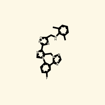 Cc1cccc(C)c1NCc1nc(-c2ncn3c2Cn2ncnc2-c2cc(F)ccc2-3)no1